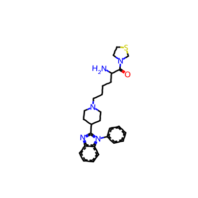 NC(CCCCN1CCC(c2nc3ccccc3n2-c2ccccc2)CC1)C(=O)N1CCSC1